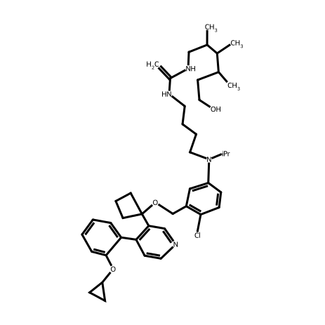 C=C(NCCCCN(c1ccc(Cl)c(COC2(c3cnccc3-c3ccccc3OC3CC3)CCC2)c1)C(C)C)NCC(C)C(C)C(C)CCO